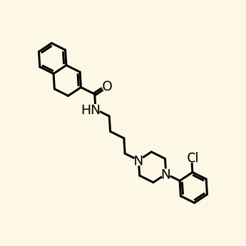 O=C(NCCCCN1CCN(c2ccccc2Cl)CC1)C1=Cc2ccccc2CC1